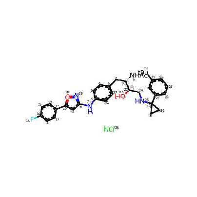 CC(=O)N[C@@H](Cc1ccc(Nc2cc(-c3ccc(F)cc3)on2)cc1)[C@H](O)CNC1(c2cccc(C(C)(C)C)c2)CC1.Cl